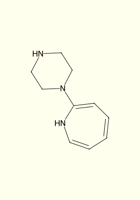 C1=CC=C(N2CCNCC2)NC=C1